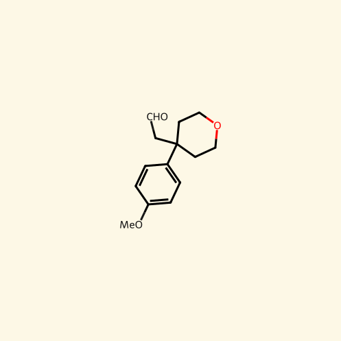 COc1ccc(C2(CC=O)CCOCC2)cc1